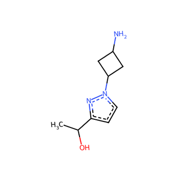 CC(O)c1ccn(C2CC(N)C2)n1